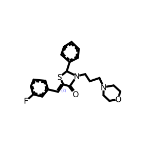 O=C1/C(=C/c2cccc(F)c2)SC(c2ccccc2)N1CCCN1CCOCC1